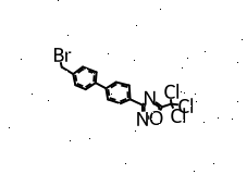 ClC(Cl)(Cl)c1nc(-c2ccc(-c3ccc(CBr)cc3)cc2)no1